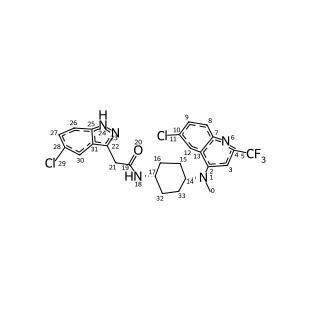 CN(c1cc(C(F)(F)F)nc2ccc(Cl)cc12)[C@H]1CC[C@@H](NC(=O)Cc2n[nH]c3ccc(Cl)cc23)CC1